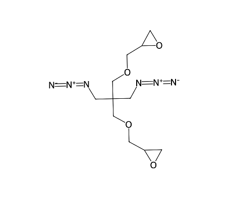 [N-]=[N+]=NCC(CN=[N+]=[N-])(COCC1CO1)COCC1CO1